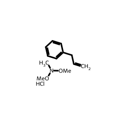 C=CCc1ccccc1.CON(C)OC.Cl